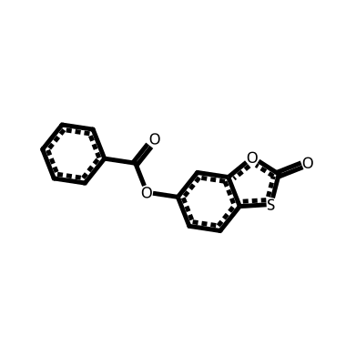 O=C(Oc1ccc2sc(=O)oc2c1)c1ccccc1